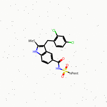 CCCCCS(=O)(=O)NC(=O)c1ccc2[nH]c(SC)c(Cc3ccc(Cl)cc3Cl)c2c1